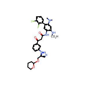 CN(C)c1cc(NC(=O)O)c(NC(=O)CC(=O)c2cccc(-n3nncc3COC3CCCCO3)c2)cc1-c1cccc(F)c1F